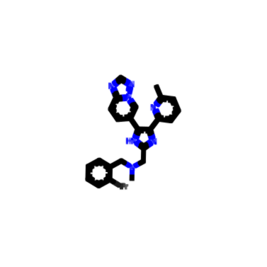 Cc1cccc(-c2nc(CN(C)Cc3ccccc3C(C)C)[nH]c2-c2ccc3ncnn3c2)n1